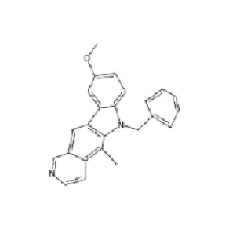 COc1ccc2c(c1)c1cc3cnccc3c(C)c1n2Cc1ccccc1